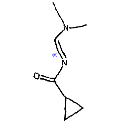 CN(C)/C=N/C(=O)C1CC1